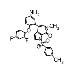 Cc1ccc(S(=O)(=O)n2ccc3c(-c4cc(N)ccc4Oc4ccc(F)cc4F)cn(C)c(=O)c32)cc1